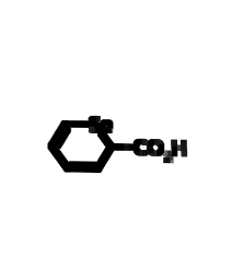 O=C(O)C1C=CC=C[Se]1